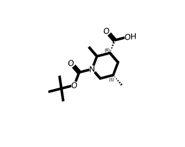 CC1[C@H](C(=O)O)C[C@H](C)CN1C(=O)OC(C)(C)C